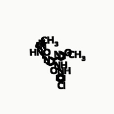 COc1ccc(C2CN(CC(=O)Nc3ccn(C)n3)CCC2NC(=O)Nc2ccc(Cl)cc2)nc1